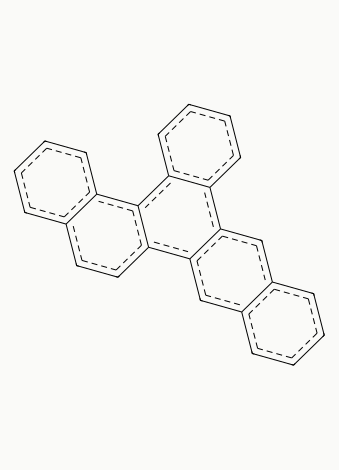 c1ccc2cc3c(cc2c1)c1ccccc1c1c2ccccc2ccc31